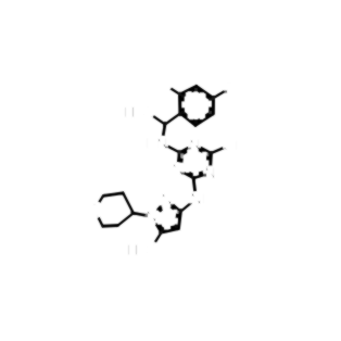 Cc1nc(Nc2cc(C)n(C3CCOCC3)n2)nc(NC(C)c2ccc(F)cc2F)n1